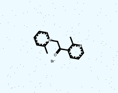 Cc1ncccc1C(=O)C[n+]1ccccc1C.[Br-]